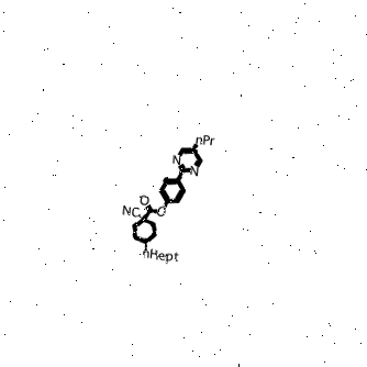 CCCCCCC[C@H]1CC[C@@](C#N)(C(=O)Oc2ccc(-c3ncc(CCC)cn3)cc2)CC1